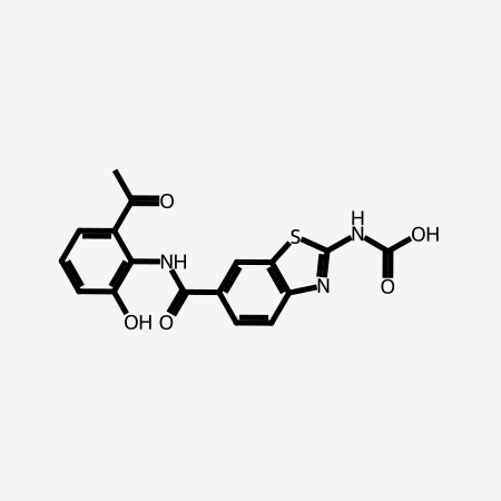 CC(=O)c1cccc(O)c1NC(=O)c1ccc2nc(NC(=O)O)sc2c1